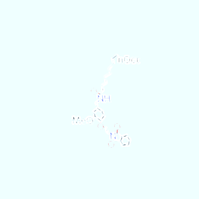 CCCCCCCC/C=C\CCCCCCCC(=O)NCc1ccc(OCCN2C(=O)c3ccccc3C2=O)c(OC)c1